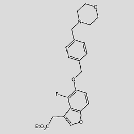 CCOC(=O)Cc1coc2ccc(OCc3ccc(CN4CCOCC4)cc3)c(F)c12